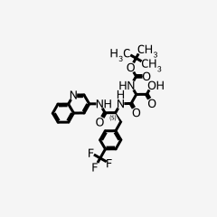 CC(C)(C)OC(=O)NC(C(=O)O)C(=O)N[C@@H](Cc1ccc(C(F)(F)F)cc1)C(=O)Nc1cnc2ccccc2c1